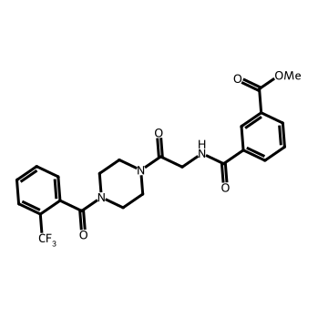 COC(=O)c1cccc(C(=O)NCC(=O)N2CCN(C(=O)c3ccccc3C(F)(F)F)CC2)c1